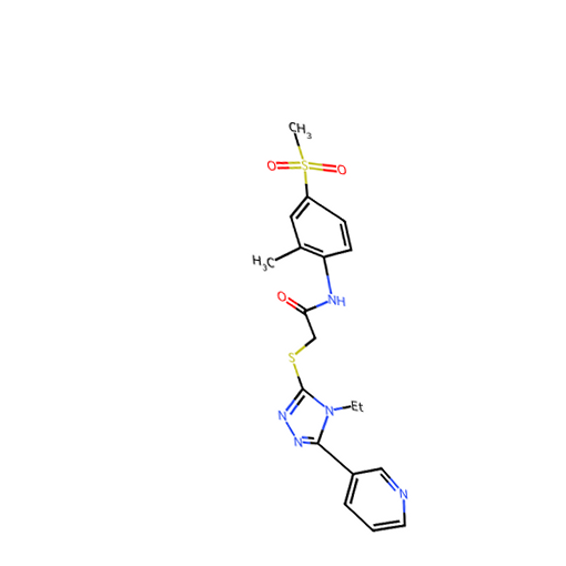 CCn1c(SCC(=O)Nc2ccc(S(C)(=O)=O)cc2C)nnc1-c1cccnc1